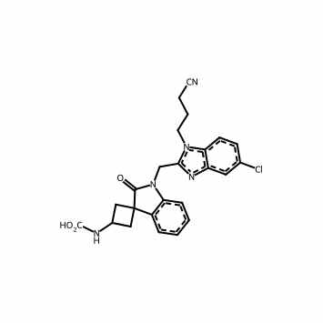 N#CCCCn1c(CN2C(=O)C3(CC(NC(=O)O)C3)c3ccccc32)nc2cc(Cl)ccc21